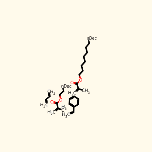 C=C(C)C(=O)OCCCCCCCCCCCC.C=C(C)C(=O)OCCCCCCCCCCCCCCCCCC.C=CC=C.C=Cc1ccccc1